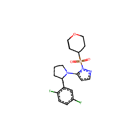 O=S(=O)(C1CCOCC1)n1nccc1N1CCCC1c1cc(F)ccc1F